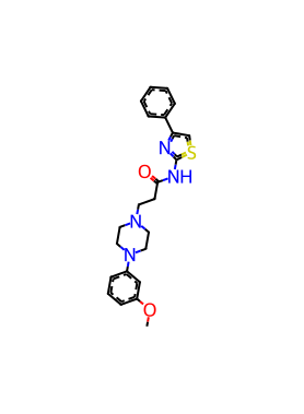 COc1cccc(N2CCN(CCC(=O)Nc3nc(-c4ccccc4)cs3)CC2)c1